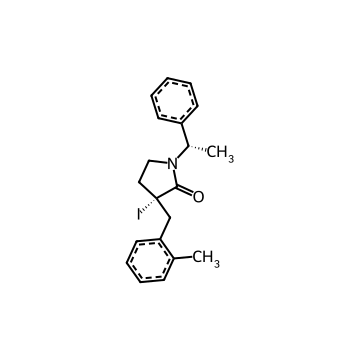 Cc1ccccc1C[C@@]1(I)CCN([C@@H](C)c2ccccc2)C1=O